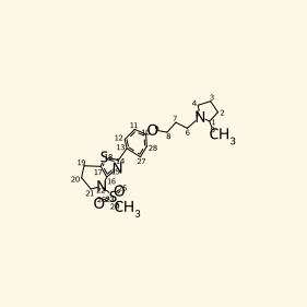 CC1CCCN1CCCOc1ccc(-c2nc3c(s2)CCCN3S(C)(=O)=O)cc1